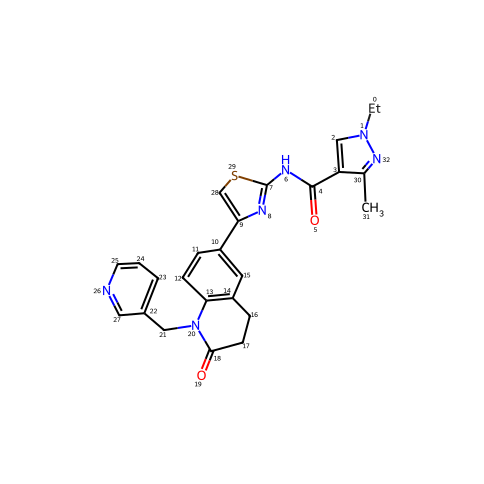 CCn1cc(C(=O)Nc2nc(-c3ccc4c(c3)CCC(=O)N4Cc3cccnc3)cs2)c(C)n1